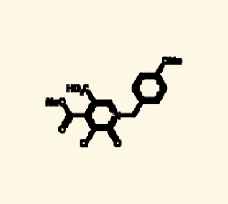 COC(=O)c1c(C(=O)O)cn(Cc2ccc(OC)cc2)c(=O)c1Cl